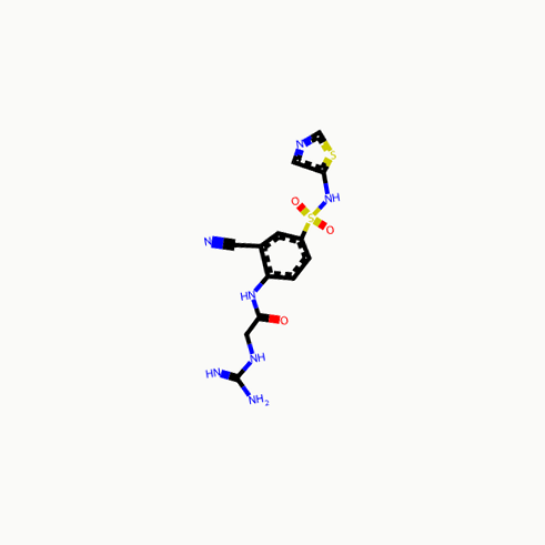 N#Cc1cc(S(=O)(=O)Nc2cncs2)ccc1NC(=O)CNC(=N)N